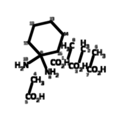 CC(=O)O.CC(=O)O.CC(=O)O.CC(=O)O.NC1(N)CCCCC1